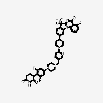 CC1(C)c2ccc(C3CCN(c4ccc(CN5CCN(c6cc(F)c(C7CCC(=O)NC7=O)c(F)c6)CC5)cn4)CC3)cc2-n2c1nc(=O)c1c(Cl)cccc12